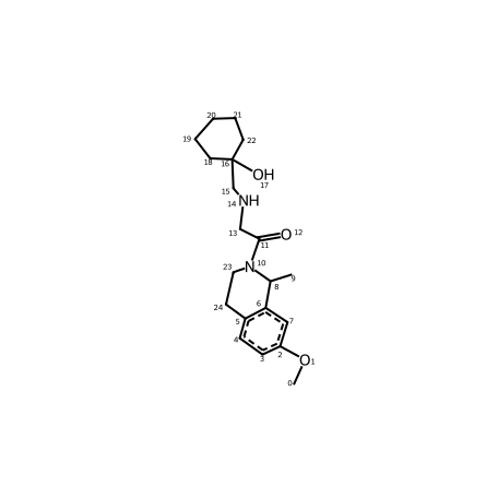 COc1ccc2c(c1)C(C)N(C(=O)CNCC1(O)CCCCC1)CC2